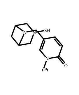 CCCn1cc(CN2C3CC2CN(S)C3)ccc1=O